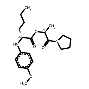 CCCC[C@@H](Nc1ccc(OC)cc1)C(=O)O[C@@H](C)C(=O)N1CCCC1